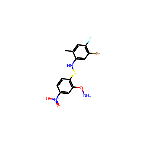 Cc1cc(F)c(Br)cc1NSc1ccc([N+](=O)[O-])cc1ON